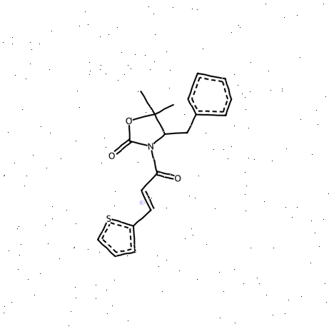 CC1(C)OC(=O)N(C(=O)/C=C/c2cccs2)C1Cc1ccccc1